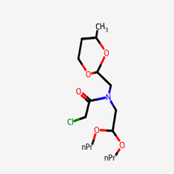 CCCOC(CN(CC1OCCC(C)O1)C(=O)CCl)OCCC